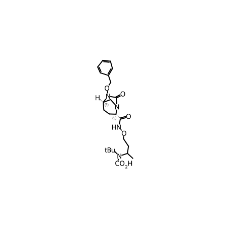 CC(CCONC(=O)[C@@H]1CC[C@@H]2CN1C(=O)N2OCc1ccccc1)N(C(=O)O)C(C)(C)C